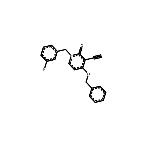 C#Cc1c(OCc2ccccc2)ccn(Cc2cccc(F)c2)c1=O